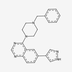 c1ccc(CN2CCN(c3ncnc4ccc(-c5cn[nH]c5)cc34)CC2)cc1